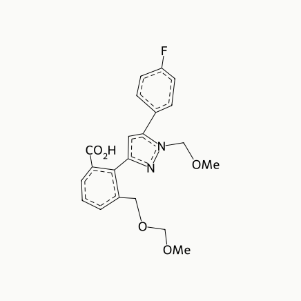 COCOCc1cccc(C(=O)O)c1-c1cc(-c2ccc(F)cc2)n(COC)n1